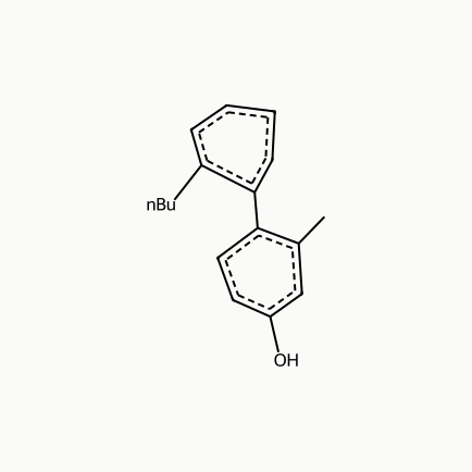 CCCCc1ccccc1-c1ccc(O)cc1C